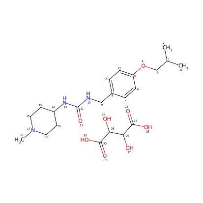 CC(C)COc1ccc(CNC(=O)NC2CCN(C)CC2)cc1.O=C(O)C(O)C(O)C(=O)O